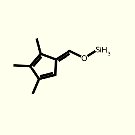 CC1=CC(=CO[SiH3])C(C)=C1C